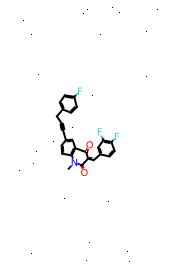 CN1C(=O)/C(=C/c2ccc(F)c(F)c2)C(=O)c2cc(C#CCc3ccc(F)cc3)ccc21